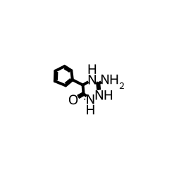 [NH]C(=O)C(NC(=N)N)c1ccccc1